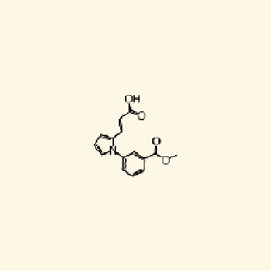 COC(=O)c1cccc(-n2cccc2/C=C/C(=O)O)c1